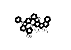 CC(C)(C)c1ccc(N(c2cc3c(c4oc5ccccc5c24)-c2c(ccc4ccccc24)C3(C)C)c2cccc3c2c2ccccc2n3-c2ccccc2)cc1